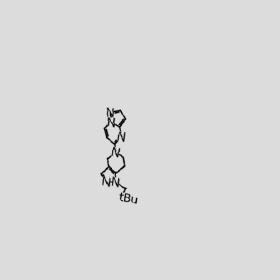 CC(C)(C)Cn1ncc2c1CCN(c1ccn3nccc3n1)C2